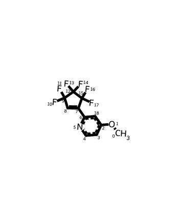 COc1ccnc(C2=CC(F)(F)C(F)(F)C2(F)F)c1